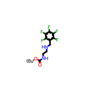 CC(C)(C)OC(=O)NCCNCc1c(F)c(F)c(F)c(F)c1F